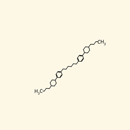 CCCCC1CCC(c2ccc(CCCCCCc3ccc(C4CCC(CCCC)CC4)cc3)cc2)CC1